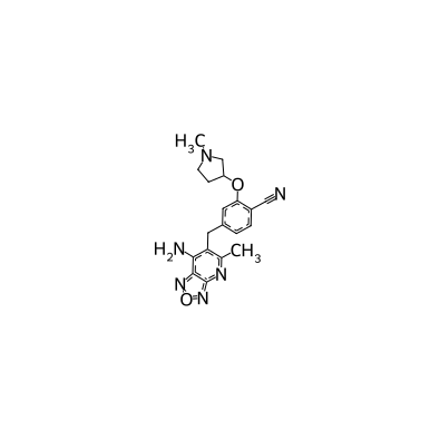 Cc1nc2nonc2c(N)c1Cc1ccc(C#N)c(OC2CCN(C)C2)c1